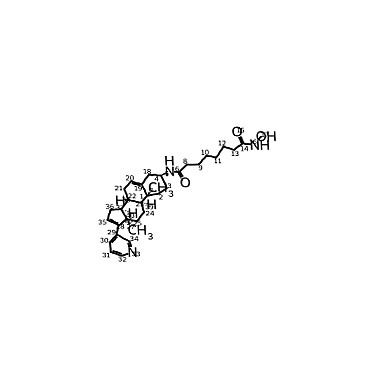 C[C@]12CC[C@H](NC(=O)CCCCCCC(=O)NO)CC1=CC[C@@H]1[C@@H]2CC[C@]2(C)C(c3cccnc3)=CC[C@@H]12